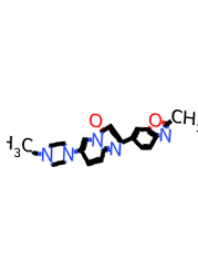 CCN1CCN(c2ccc3nc(-c4ccc5nc(C)oc5c4)cc(=O)n3c2)CC1